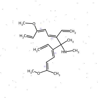 C=C/C(=C\C=C(/C=C)C(C)(NC)/C(C=C)=C/C=C(\C)OC)OC